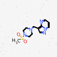 CS(=O)(=O)N1CCN(Cc2cnn3cccnc23)CC1